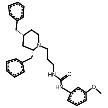 COc1cccc(NC(=O)NCCCN2CC[C@@H](Cc3ccccc3)C[C@H]2Cc2ccccc2)c1